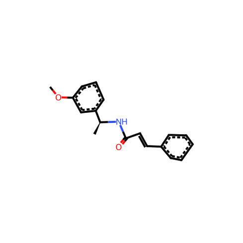 COc1cccc([C@H](C)NC(=O)/C=C/c2ccccc2)c1